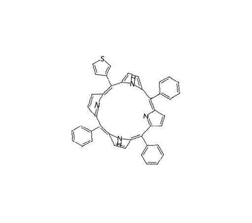 C1=Cc2nc1c(-c1ccccc1)c1ccc([nH]1)c(-c1ccccc1)c1nc(c(-c3ccsc3)c3ccc([nH]3)c2-c2ccccc2)C=C1